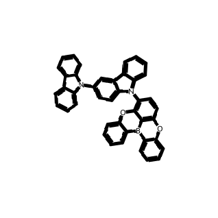 c1ccc2c(c1)Oc1ccc(-n3c4ccccc4c4cc(-n5c6ccccc6c6ccccc65)ccc43)c3c1B2c1ccccc1O3